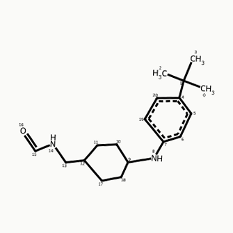 CC(C)(C)c1ccc(NC2CCC(CNC=O)CC2)cc1